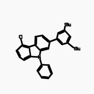 CC(C)(C)c1cc(-c2ccc3c4c(Cl)cccc4n(-c4ccccc4)c3c2)cc(C(C)(C)C)c1